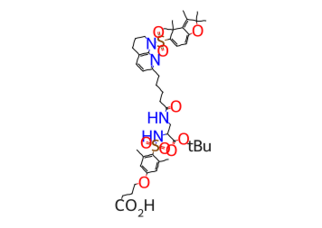 CC1=C2C(=CC=C(S(=O)(=O)N3CCCc4ccc(CCCCC(=O)NCC(NS(=O)(=O)c5c(C)cc(OCCCC(=O)O)cc5C)C(=O)OC(C)(C)C)nc43)C2(C)C)OC1(C)C